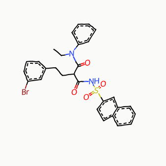 CCN(C(=O)C(CCc1cccc(Br)c1)C(=O)NS(=O)(=O)c1ccc2ccccc2c1)c1ccccc1